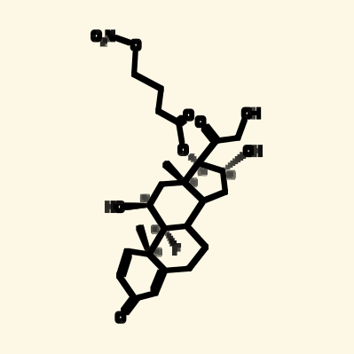 C[C@]12C=CC(=O)C=C1CCC1C3C[C@@H](O)[C@](OC(=O)CCCO[N+](=O)[O-])(C(=O)CO)[C@@]3(C)C[C@H](O)[C@@]12F